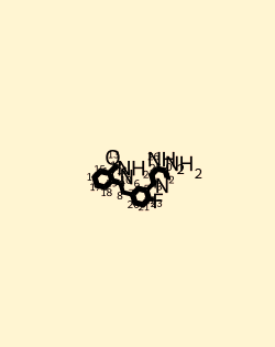 Nc1cnc(-c2cc(Cc3n[nH]c(=O)c4ccccc34)ccc2F)cc1N